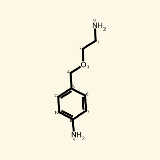 NCCOCc1ccc(N)cc1